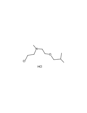 CC(C)COCCN(C)CCCl.Cl